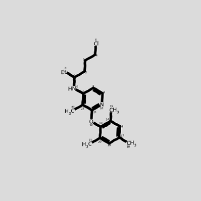 CCC(CCCCl)Nc1ccnc(Oc2c(C)cc(C)cc2C)c1C